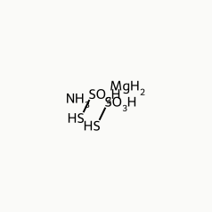 N.O=S(=O)(O)S.O=S(=O)(O)S.[MgH2]